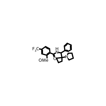 COc1cc(C(F)(F)F)ccc1C(=O)NC(c1ccccc1)C1(N2CCCC2)CCC1